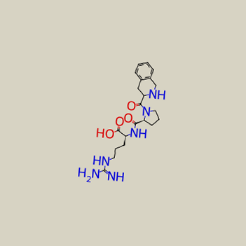 N=C(N)NCCC[C@H](NC(=O)[C@@H]1CCCN1C(=O)C1Cc2ccccc2CN1)C(=O)O